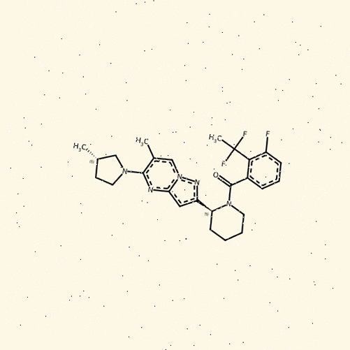 Cc1cn2nc([C@@H]3CCCCN3C(=O)c3cccc(F)c3C(C)(F)F)cc2nc1N1CC[C@H](C)C1